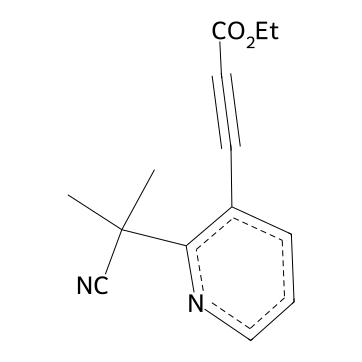 CCOC(=O)C#Cc1cccnc1C(C)(C)C#N